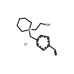 C=Cc1ccc(C[N+]2(CCO)CCCCC2)cc1.[Cl-]